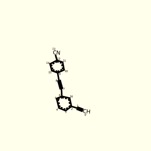 C#Cc1cccc(C#Cc2ccc(C#N)cc2)c1